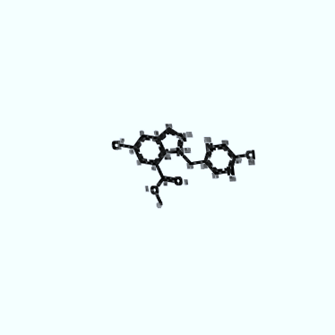 COC(=O)c1cc(Cl)cc2cnn(Cc3cnc(Cl)cn3)c12